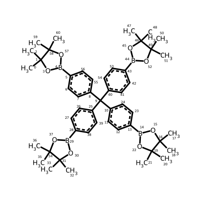 CC1(C)OB(c2ccc(C(c3ccc(B4OC(C)(C)C(C)(C)O4)cc3)(c3ccc(B4OC(C)(C)C(C)(C)O4)cc3)c3ccc(B4OC(C)(C)C(C)(C)O4)cc3)cc2)OC1(C)C